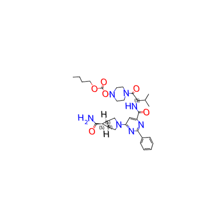 CCCCOC(=O)ON1CCN(C(=O)[C@@H](NC(=O)c2cc(N3C[C@@H]4[C@H](C3)[C@@H]4C(N)=O)nc(-c3ccccc3)n2)C(C)C)CC1